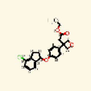 CCOC(=O)CC1(c2ccc(OC3CCc4c(Cl)cccc43)cc2)COC1